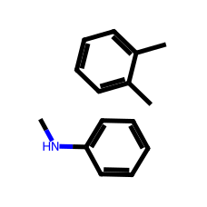 CNc1ccccc1.Cc1ccccc1C